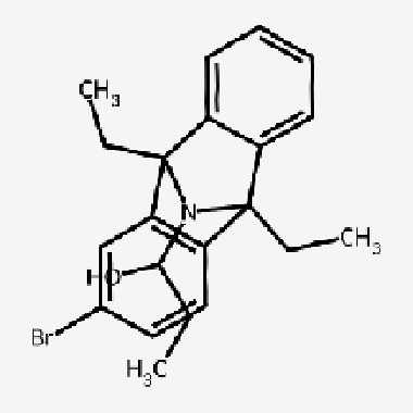 CCC(O)N1C2(CC)c3ccccc3C1(CC)c1cc(Br)ccc12